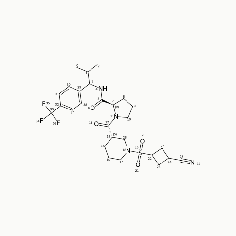 CC(C)C(NC(=O)[C@H]1CCCN1C(=O)[C@H]1CCCN(S(=O)(=O)C2CC(C#N)C2)C1)c1ccc(C(F)(F)F)cc1